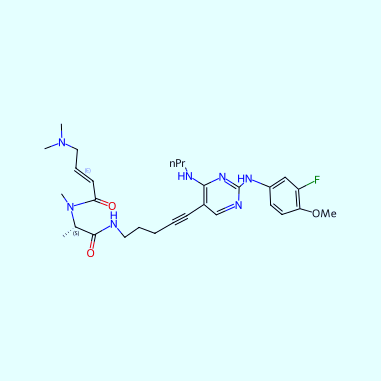 CCCNc1nc(Nc2ccc(OC)c(F)c2)ncc1C#CCCCNC(=O)[C@H](C)N(C)C(=O)/C=C/CN(C)C